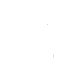 c1ccc(-n2c3ccccc3c3ccc(-c4ccc5c(c4)c4ccccc4n5-c4nc(-c5ccc6c7ccccc7c7ccccc7c6c5)c5ccccc5n4)cc32)cc1